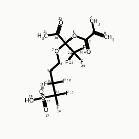 C=C(C)C(=O)OC(OCCC(F)(F)C(F)(F)S(=O)(=O)O)(C(C)=O)C(F)(F)F